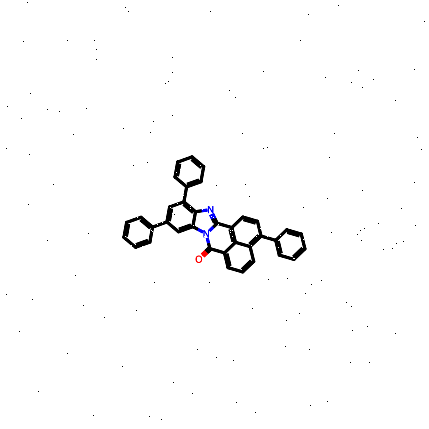 O=c1c2cccc3c(-c4ccccc4)ccc(c32)c2nc3c(-c4ccccc4)cc(-c4ccccc4)cc3n12